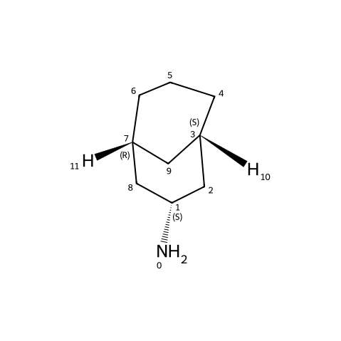 N[C@H]1C[C@H]2CCC[C@@H](C1)C2